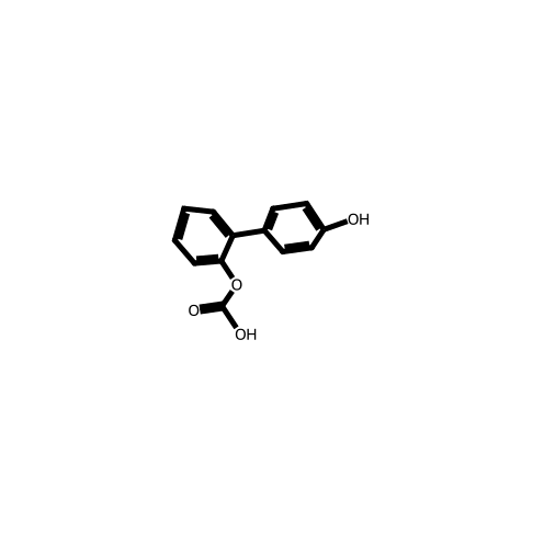 O=C(O)Oc1ccccc1-c1ccc(O)cc1